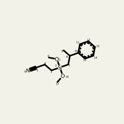 CO[Si](CCC#N)(CC(C)c1ccccc1)OC